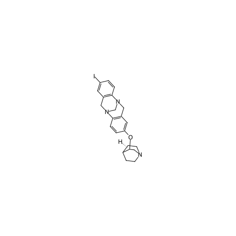 Ic1ccc2c(c1)CN1CN2Cc2cc(O[C@H]3CN4CCC3CC4)ccc21